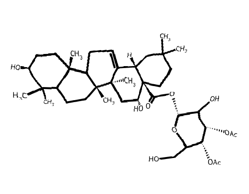 CC(=O)O[C@@H]1C(CO)O[C@H](OC(=O)[C@]23CCC(C)(C)C[C@H]2C2=CCC4[C@@]5(C)CC[C@H](O)C(C)(C)C5CC[C@@]4(C)[C@]2(C)C[C@H]3O)C(O)[C@@H]1OC(C)=O